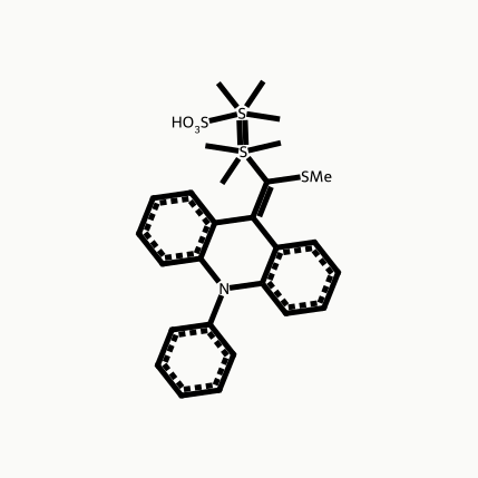 CSC(=C1c2ccccc2N(c2ccccc2)c2ccccc21)S(C)(C)(C)=S(C)(C)(C)S(=O)(=O)O